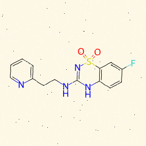 O=S1(=O)N=C(NCCc2ccccn2)Nc2ccc(F)cc21